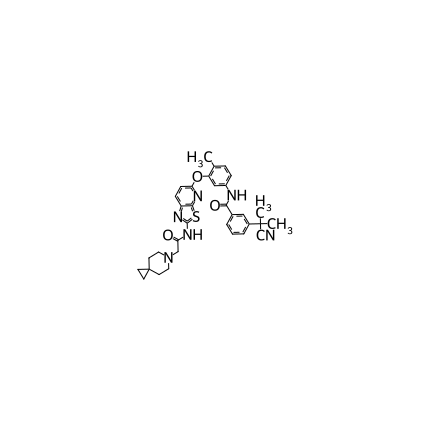 Cc1ccc(NC(=O)c2cccc(C(C)(C)C#N)c2)cc1Oc1ccc2nc(NC(=O)CN3CCC4(CC3)CC4)sc2n1